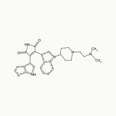 CN(C)CCN1CCC(n2cc(C3=C(c4c[nH]c5sccc45)C(=O)NC3=O)c3ccccc32)CC1